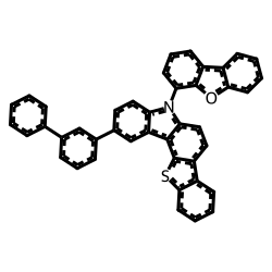 c1ccc(-c2cccc(-c3ccc4c(c3)c3c5sc6ccccc6c5ccc3n4-c3cccc4c3oc3ccccc34)c2)cc1